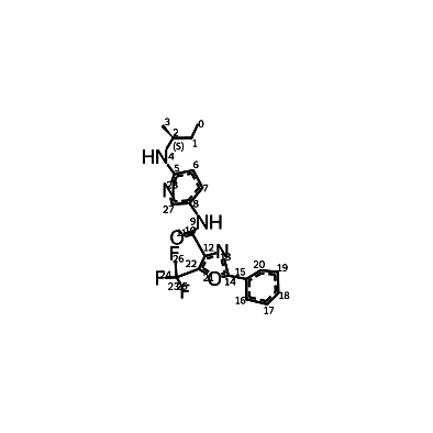 CC[C@H](C)Nc1ccc(NC(=O)c2nc(-c3ccccc3)oc2C(F)(F)F)cn1